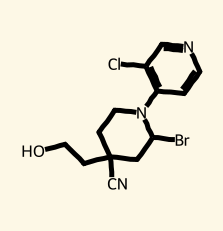 N#CC1(CCO)CCN(c2ccncc2Cl)C(Br)C1